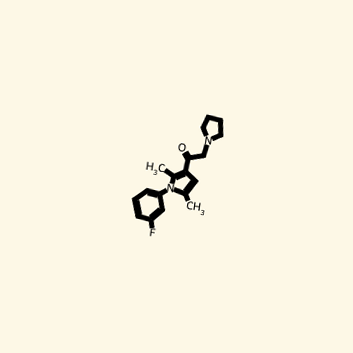 Cc1cc(C(=O)CN2CCCC2)c(C)n1-c1cccc(F)c1